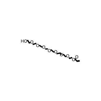 C=CC(=O)OCCOCCOCCOCCOCCOCCOCCOCCO